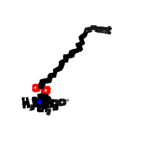 CCCCCC=CCC=CCC=CCC=CCC=CCCC(=O)OC(CC(=O)[O-])C[N+](C)(C)C